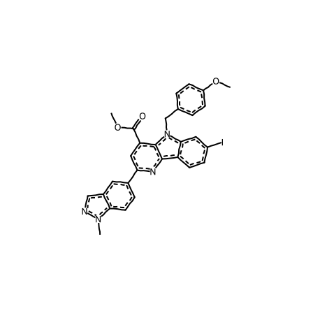 COC(=O)c1cc(-c2ccc3c(cnn3C)c2)nc2c3ccc(I)cc3n(Cc3ccc(OC)cc3)c12